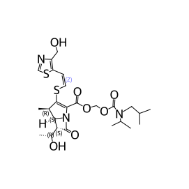 CC(C)CN(C(=O)OCOC(=O)C1=C(S/C=C\c2scnc2CO)[C@H](C)[C@@H]2[C@@H]([C@@H](C)O)C(=O)N12)C(C)C